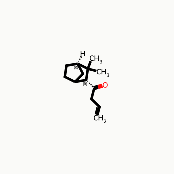 C=CCC(=O)[C@@H]1C2CC[C@H](C2)C1(C)C